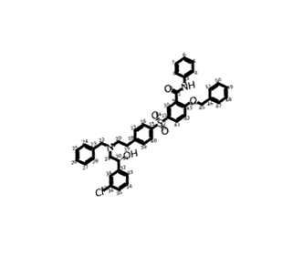 O=C(Nc1ccccc1)c1cc(S(=O)(=O)c2ccc(CCN(Cc3ccccc3)C[C@H](O)c3cccc(Cl)c3)cc2)ccc1OCc1ccccc1